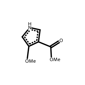 COC(=O)c1c[nH]cc1OC